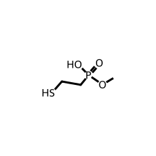 COP(=O)(O)CCS